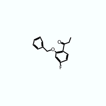 CCC(=O)c1ccc(F)cc1OCc1ccccc1